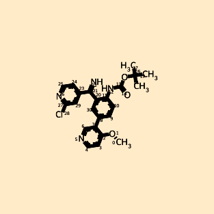 COc1ccncc1-c1ccc(NC(=O)OC(C)(C)C)c(C(=N)c2ccnc(Cl)c2)c1